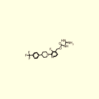 N=C(N)NC(=O)OCc1ccnc(N2CCC(c3ccc(C(F)(F)F)cc3)CC2)c1F